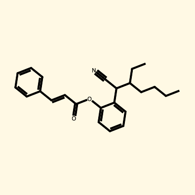 CCCCC(CC)C(C#N)c1ccccc1OC(=O)C=Cc1ccccc1